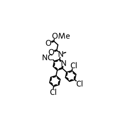 COC(=O)CC(=O)N(C)c1nc(-c2ccc(Cl)cc2Cl)c(-c2ccc(Cl)cc2)cc1C#N